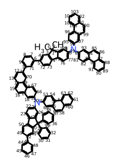 CC1(C)c2cc(-c3cccc(-c4ccc5ccc6cc(N(c7ccc8c(c7)C(c7ccccc7)(c7ccccc7)c7cc(-c9ccccc9)ccc7-8)c7ccc8c(ccc9ccccc98)c7)ccc6c5c4)c3)ccc2-c2ccc(N(c3ccc4c(ccc5ccccc54)c3)c3ccc4c(ccc5ccccc54)c3)cc21